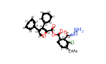 COc1ccc(C(=O)OC(=O)c2occ(-c3ccccc3)c2-c2ccccc2)c(C(=O)NN)c1Cl